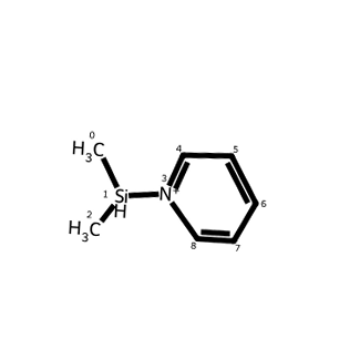 C[SiH](C)[n+]1ccccc1